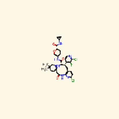 CC1(C)CCC2(CC1)CC(=O)Nc1nc(Cl)ccc1C[C@@H](c1ccnc(Cl)c1F)[C@H](C(=O)N[C@@H]1CC[C@@H](C(=O)NC3CC3)OC1)N2